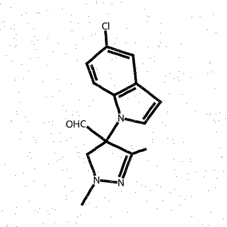 CC1=NN(C)CC1(C=O)n1ccc2cc(Cl)ccc21